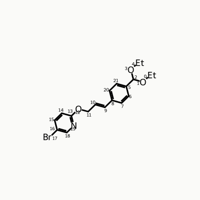 CCOC(OCC)c1ccc(C=CCOc2ccc(Br)cn2)cc1